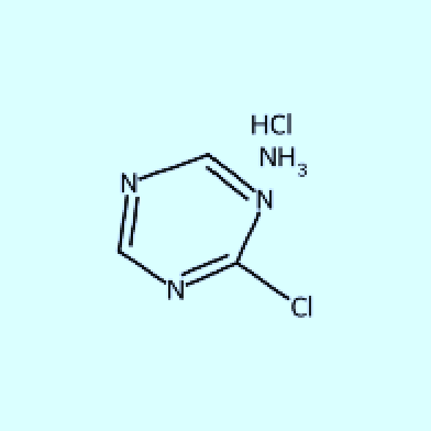 Cl.Clc1ncncn1.N